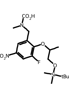 CC(CO[Si](C)(C)C(C)(C)C)Oc1c(F)cc([N+](=O)[O-])cc1CN(C)C(=O)O